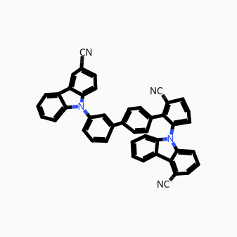 N#Cc1ccc2c(c1)c1ccccc1n2-c1cccc(-c2ccc(-c3c(C#N)cccc3-n3c4ccccc4c4c(C#N)cccc43)cc2)c1